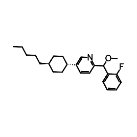 CCCCC[C@H]1CC[C@H](c2ccc(C(OC)c3ccccc3F)nc2)CC1